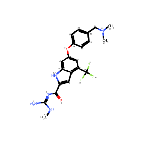 CNC(N)=NC(=O)c1cc2c(C(F)(F)F)cc(Oc3ccc(CN(C)C)cc3)cc2[nH]1